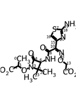 CC(ON1C(=O)[C@@H](NC(=O)/C(=N\OCC(=O)O)c2csc(N)n2)C1(C)C)C(=O)O